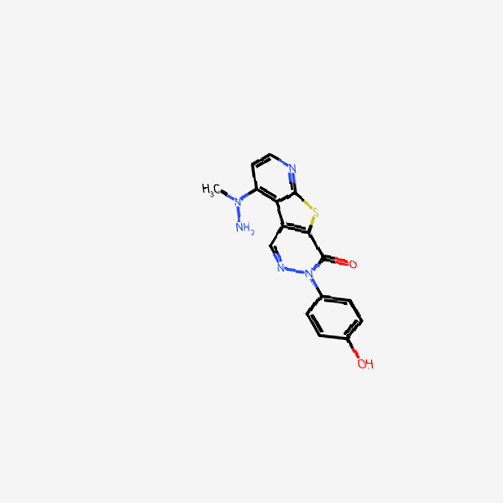 CN(N)c1ccnc2sc3c(=O)n(-c4ccc(O)cc4)ncc3c12